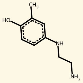 Cc1cc(NCCN)ccc1O